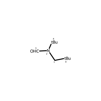 CC(C)(C)CN(C=O)C(C)(C)C